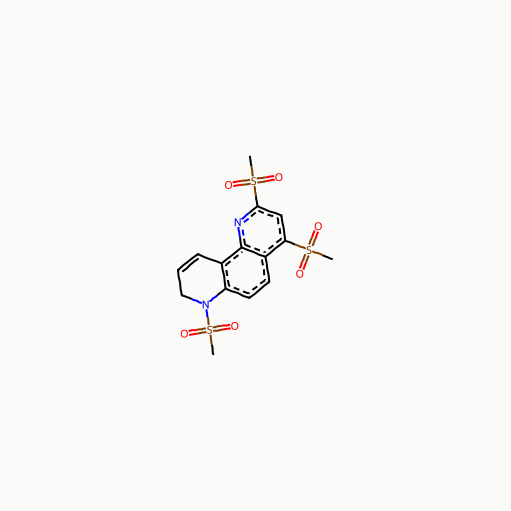 CS(=O)(=O)c1cc(S(C)(=O)=O)c2ccc3c(c2n1)C=CCN3S(C)(=O)=O